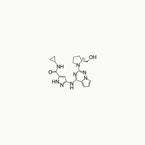 O=C(NC1CC1)c1cc(Nc2nc(N3CCC[C@H]3CO)nn3cccc23)n[nH]1